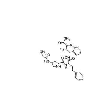 NCC(=O)NC1CN[C@H](C(=O)N[C@H](CCc2ccccc2)C(=O)O)C1.[2H]c1cc2ccccc2nc1C(N)=O